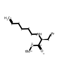 C=CCCCCN[C@@H](CC(C)C)C(=O)OC(C)(C)C